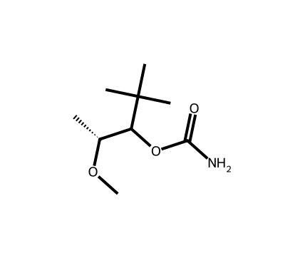 CO[C@H](C)C(OC(N)=O)C(C)(C)C